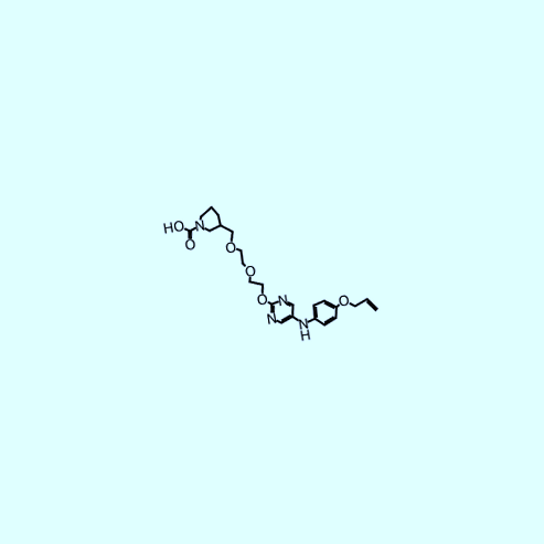 C=CCOc1ccc(Nc2cnc(OCCOCCOCC3CCCN(C(=O)O)C3)nc2)cc1